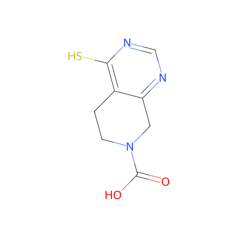 O=C(O)N1CCc2c(S)ncnc2C1